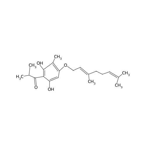 CC(C)=CCC/C(C)=C/COc1cc(O)c(C(=O)C(C)C)c(O)c1C